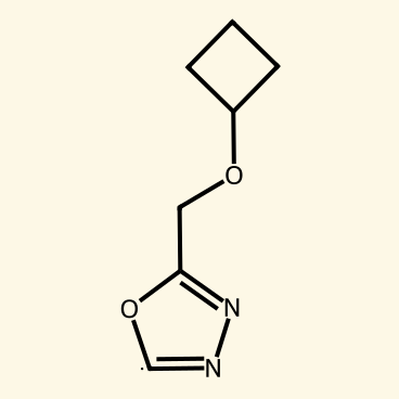 [c]1nnc(COC2CCC2)o1